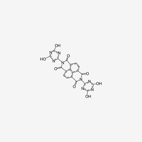 O=C1c2ccc3c4c(ccc(c24)C(=O)N1c1nc(O)nc(O)n1)C(=O)N(c1nc(O)nc(O)n1)C3=O